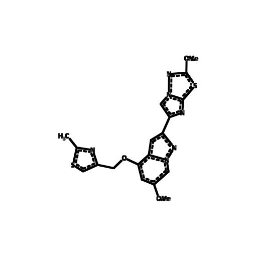 COc1cc(OCc2csc(C)n2)c2cc(-c3cn4nc(OC)sc4n3)nn2c1